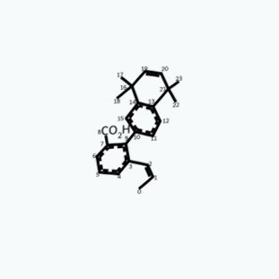 C/C=C\c1cccc(C(=O)O)c1-c1ccc2c(c1)C(C)(C)C=CC2(C)C